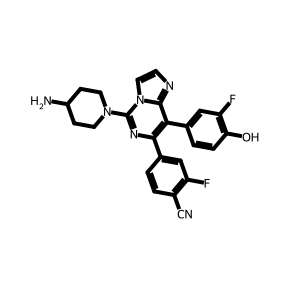 N#Cc1ccc(-c2nc(N3CCC(N)CC3)n3ccnc3c2-c2ccc(O)c(F)c2)cc1F